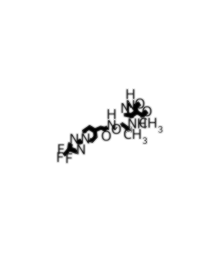 CC(=O)c1c(N[C@@H](C)CONC(=O)CC2=CCN(c3ncc(C(F)(F)F)cn3)CC2)cn[nH]c1=O